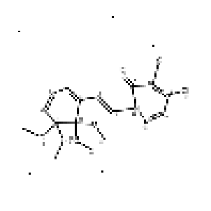 COC1(OC)C=CC=C(C=Cn2ncc(Cl)c(Cl)c2=O)C1(OC)OC